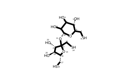 OC1C(O)[C@H](O)C(CS)O[C@@H]1OC1(CS)O[C@H](CS)[C@@H](O)[C@@H]1O